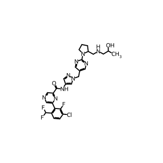 CC(O)CNCC1CCCN1c1ncc(Cn2cc(NC(=O)c3cncc(-c4c(C(F)F)ccc(Cl)c4F)n3)cn2)cn1